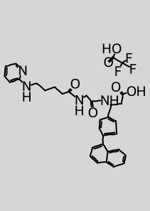 O=C(O)C(F)(F)F.O=C(O)CC(NC(=O)CNC(=O)CCCCNc1ccccn1)c1ccc(-c2cccc3ccccc23)cc1